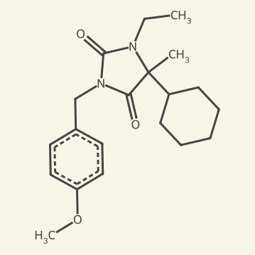 CCN1C(=O)N(Cc2ccc(OC)cc2)C(=O)C1(C)C1CCCCC1